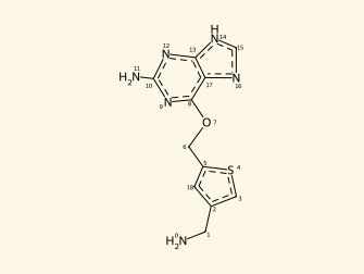 NCc1csc(COc2nc(N)nc3[nH]cnc23)c1